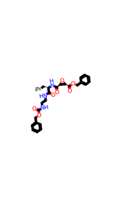 CC(C)C[C@H](NC(=O)[C@H]1O[C@@H]1C(=O)OCc1ccccc1)C(=O)NCCNC(=O)OCc1ccccc1